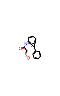 NC(=O)C=S=O.c1ccc(C2c3ccccc32)cc1